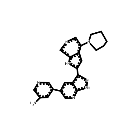 Nc1cncc(-c2cnc3[nH]nc(-c4cc5c(N6CCCCC6)cncc5[nH]4)c3c2)c1